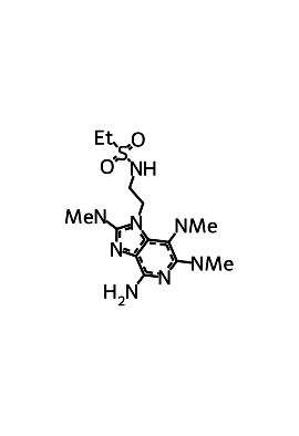 CCS(=O)(=O)NCCn1c(NC)nc2c(N)nc(NC)c(NC)c21